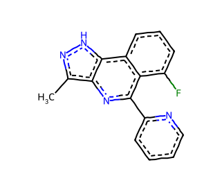 Cc1n[nH]c2c1nc(-c1ccccn1)c1c(F)cccc12